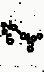 O=C(Cc1ccccc1)N1CCC(N2CCCC2c2nc3cc(C#Cc4ccc5[nH]c([C@@H]6C[C@H](N7CCCC7)CN6C(=O)Cc6ccccc6)nc5c4)ccc3[nH]2)C1